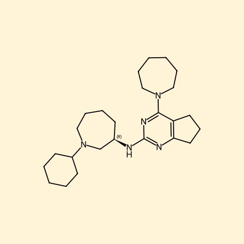 C1CCC(N2CCCC[C@@H](Nc3nc4c(c(N5CCCCCC5)n3)CCC4)C2)CC1